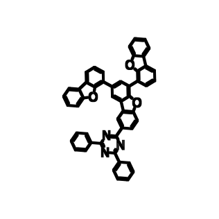 c1ccc(-c2nc(-c3ccccc3)nc(-c3ccc4oc5c(-c6cccc7c6oc6ccccc67)cc(-c6cccc7c6oc6ccccc67)cc5c4c3)n2)cc1